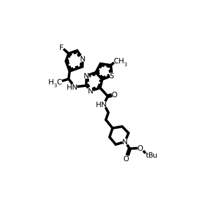 Cc1cc2nc(NC(C)c3cncc(F)c3)nc(C(=O)NCCC3CCN(C(=O)OC(C)(C)C)CC3)c2s1